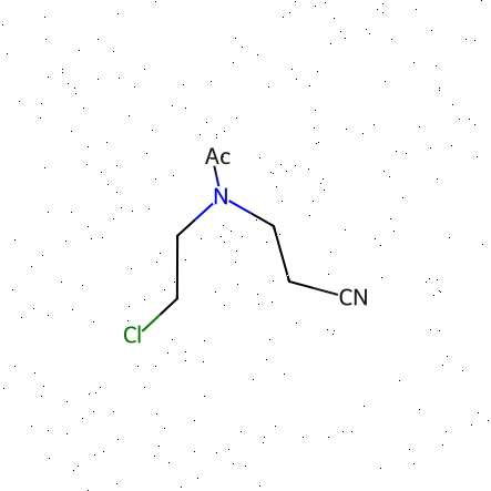 CC(=O)N(CCCl)CCC#N